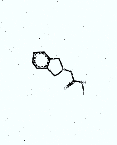 O=C(CN1Cc2ccccc2C1)NI